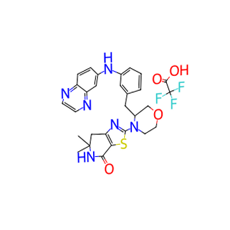 CC1(C)Cc2nc(N3CCOCC3Cc3cccc(Nc4ccc5nccnc5c4)c3)sc2C(=O)N1.O=C(O)C(F)(F)F